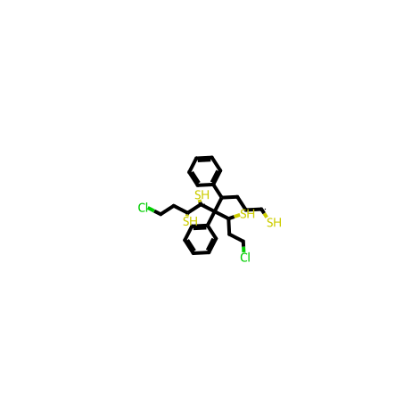 S[CH]CCC(c1ccccc1)C([C](S)C(S)CCCl)(c1ccccc1)C(S)CCCl